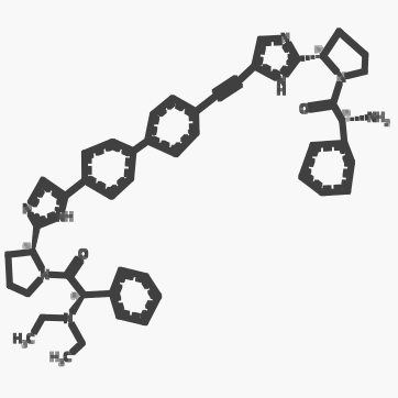 CCN(CC)[C@@H](C(=O)N1CCC[C@H]1c1ncc(-c2ccc(-c3ccc(C#Cc4cnc([C@@H]5CCCN5C(=O)[C@H](N)c5ccccc5)[nH]4)cc3)cc2)[nH]1)c1ccccc1